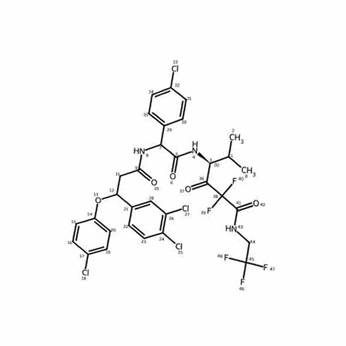 CC(C)[C@H](NC(=O)C(NC(=O)CC(Oc1ccc(Cl)cc1)c1ccc(Cl)c(Cl)c1)c1ccc(Cl)cc1)C(=O)C(F)(F)C(=O)NCC(F)(F)F